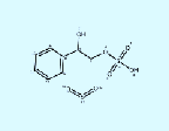 O=S(=O)(O)OCC(O)c1ccccc1.O=S=O